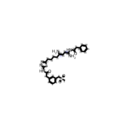 CS(=O)(=O)Cc1cccc(CC(=O)Nc2nnc(CCCC/C(N)=C/C=C(\N)NC(=O)Cc3ccccc3)s2)c1